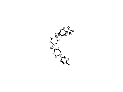 Cc1ccc(N2CCC(O[C@H]3CC[C@H](Oc4ccc(S(C)(=O)=O)cc4)CC3)CC2)nn1